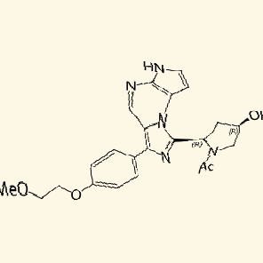 COCCOc1ccc(-c2nc([C@H]3C[C@@H](O)CN3C(C)=O)n3c2cnc2[nH]ccc23)cc1